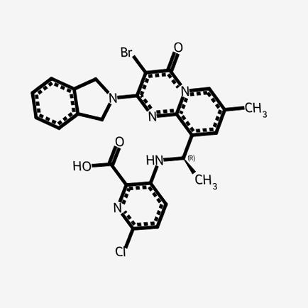 Cc1cc([C@@H](C)Nc2ccc(Cl)nc2C(=O)O)c2nc(N3Cc4ccccc4C3)c(Br)c(=O)n2c1